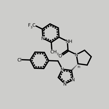 Cc1nc(C(F)(F)F)ccc1NC(=O)N1CCC[C@@H]1c1nncn1Cc1ccc(Cl)cc1